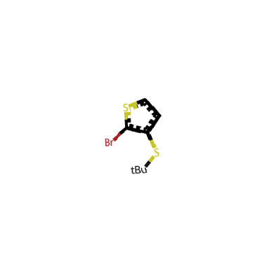 CC(C)(C)Sc1ccsc1Br